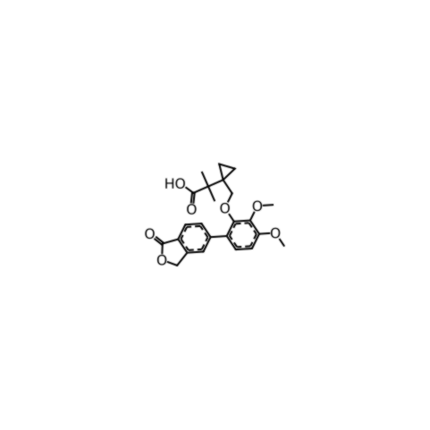 COc1ccc(-c2ccc3c(c2)COC3=O)c(OCC2(C(C)(C)C(=O)O)CC2)c1OC